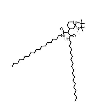 CCCCCCCCCCCCCCCCCCNC(=O)C(C(=O)NCCCCCCCCCCCCCCCCCC)C1CCCC2(C1)NC(C)(C)C(C)(C)N2